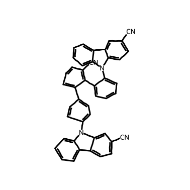 N#Cc1ccc2c(c1)c1ccccc1n2-c1ccccc1-c1c(C#N)cccc1-c1ccc(-n2c3ccccc3c3ccc(C#N)cc32)cc1